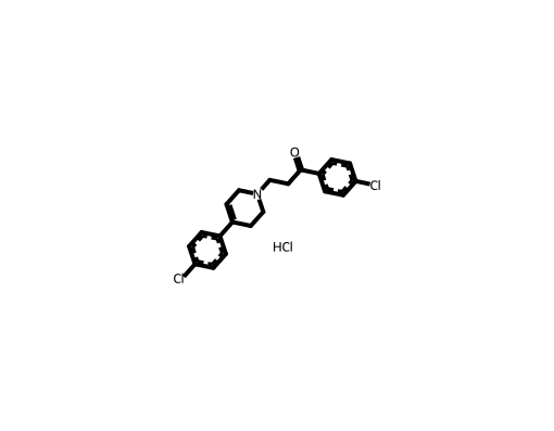 Cl.O=C(CCN1CC=C(c2ccc(Cl)cc2)CC1)c1ccc(Cl)cc1